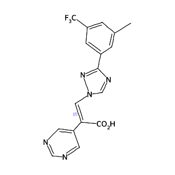 Cc1cc(-c2ncn(/C=C(\C(=O)O)c3cncnc3)n2)cc(C(F)(F)F)c1